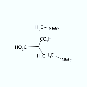 CC(C(=O)O)C(=O)O.CNC.CNC